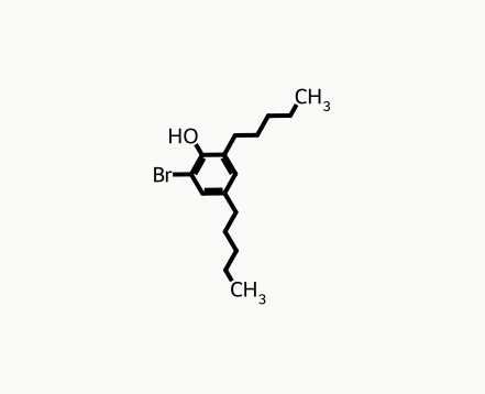 CCCCCc1cc(Br)c(O)c(CCCCC)c1